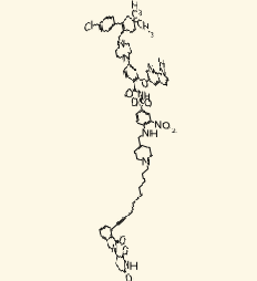 CC1(C)CCC(CN2CCN(c3ccc(C(=O)NS(=O)(=O)c4ccc(NCC5CCN(CCCCCCCC#Cc6cccc7c6C(=O)N(C6CCC(=O)NC6=O)C7)CC5)c([N+](=O)[O-])c4)c(Oc4cnc5[nH]ccc5c4)c3)CC2)=C(c2ccc(Cl)cc2)C1